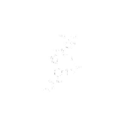 COC(=O)Nc1ccc2c(c1)NC(=O)C(C)C=CC[C@H](NC(=O)OC(C)(C)C)c1cc-2nnc1Cl